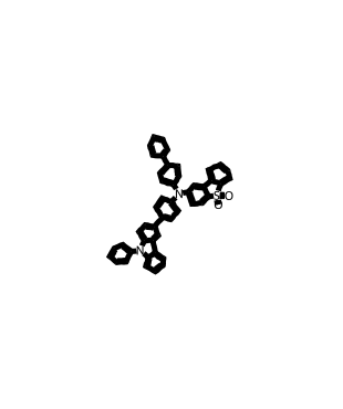 O=S1(=O)c2ccccc2-c2cc(N(c3ccc(-c4ccccc4)cc3)c3ccc(-c4ccc5c(c4)c4ccccc4n5-c4ccccc4)cc3)ccc21